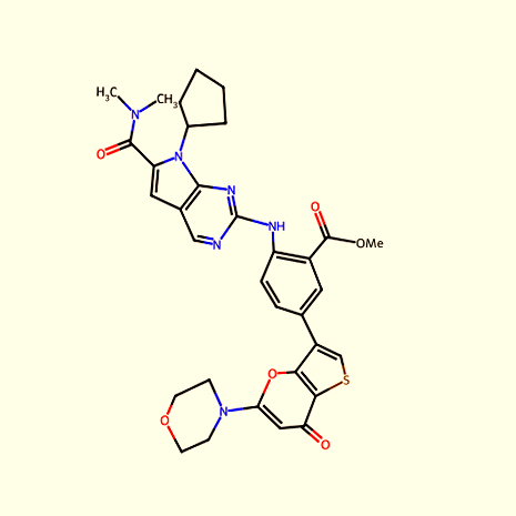 COC(=O)c1cc(-c2csc3c(=O)cc(N4CCOCC4)oc23)ccc1Nc1ncc2cc(C(=O)N(C)C)n(C3CCCC3)c2n1